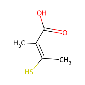 CC(S)=C(C)C(=O)O